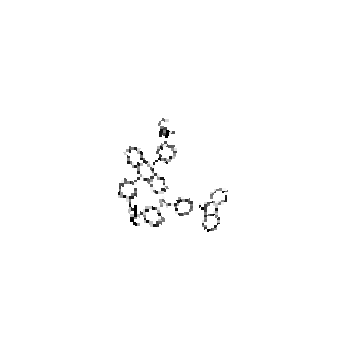 [C-]#[N+]c1cccc(-c2c3ccccc3c(-c3cccc([N+]#[C-])c3)c3cc(N(c4ccccc4)c4ccc(-n5c6ccccc6c6ccccc65)cc4)ccc23)c1